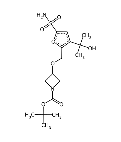 CC(C)(C)OC(=O)N1CC(OCc2oc(S(N)(=O)=O)cc2C(C)(C)O)C1